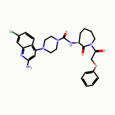 Nc1cc(N2CCN(C(=O)N[C@H]3CCCCN(C(=O)COc4ccccc4)C3=O)CC2)c2ccc(Cl)cc2n1